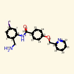 NCc1ccc(I)cc1NC(=O)c1ccc(OCc2ccccn2)cc1